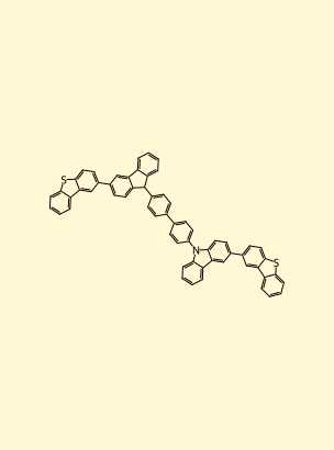 c1ccc2c(c1)-c1cc(-c3ccc4sc5ccccc5c4c3)ccc1C2c1ccc(-c2ccc(-n3c4ccccc4c4cc(-c5ccc6sc7ccccc7c6c5)ccc43)cc2)cc1